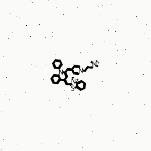 C[n+]1c(C=C2C=C(C=C3C=CN(CCC[N+](C)(C)C)C=C3)N(c3ccccc3)c3ccccc32)sc2ccccc21